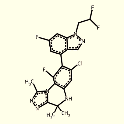 Cc1nnc2n1-c1c(cc(Cl)c(-c3cc(F)cc4c3cnn4CC(F)F)c1F)NC2(C)C